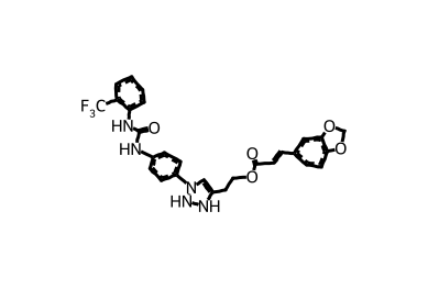 O=C(Nc1ccc(N2C=C(CCOC(=O)/C=C/c3ccc4c(c3)OCO4)NN2)cc1)Nc1ccccc1C(F)(F)F